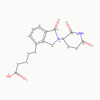 O=C(O)CCCCc1cccc2c1CN(C1CCC(=O)NC1=O)C2=O